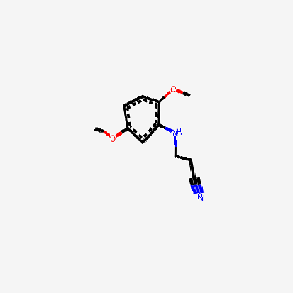 COc1ccc(OC)c(NCCC#N)c1